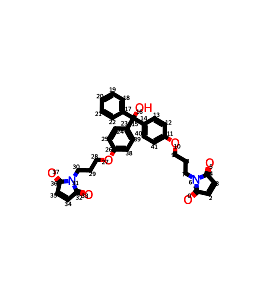 O=C1C=CC(=O)N1CCCOc1ccc(C(O)(c2ccccc2)c2ccc(OCCCN3C(=O)C=CC3=O)cc2)cc1